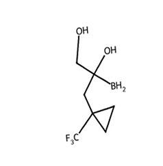 BC(O)(CO)CC1(C(F)(F)F)CC1